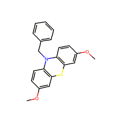 COc1ccc2c(c1)Sc1cc(OC)ccc1N2Cc1ccccc1